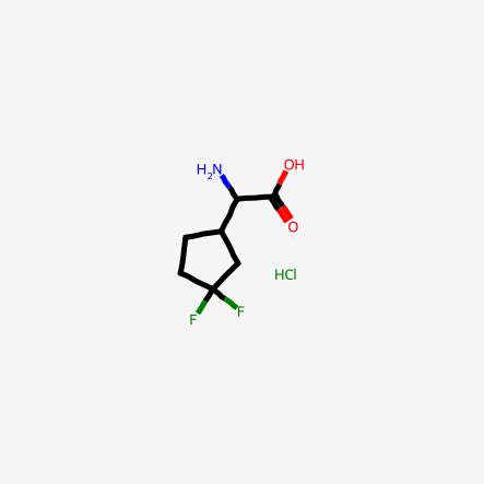 Cl.NC(C(=O)O)C1CCC(F)(F)C1